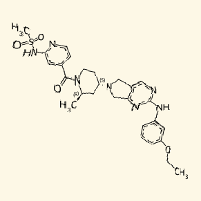 CCOc1cccc(Nc2ncc3c(n2)CN([C@H]2CCN(C(=O)c4ccnc(NS(C)(=O)=O)c4)[C@H](C)C2)C3)c1